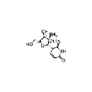 B[C@]1(Cl)[C@H](O)[C@@H](CO)O[C@H]1n1ccc(=O)[nH]c1=O